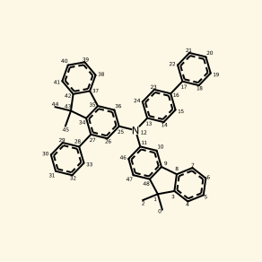 CC1(C)c2ccccc2-c2cc(N(c3ccc(-c4ccccc4)cc3)c3cc(-c4ccccc4)c4c(c3)-c3ccccc3C4(C)C)ccc21